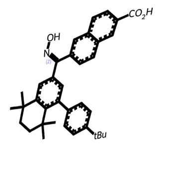 CC(C)(C)c1ccc(-c2cc(/C(=N/O)c3ccc4cc(C(=O)O)ccc4c3)cc3c2C(C)(C)CCC3(C)C)cc1